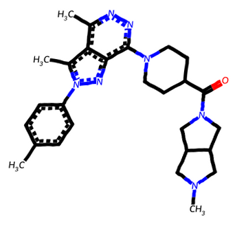 Cc1ccc(-n2nc3c(N4CCC(C(=O)N5CC6CN(C)CC6C5)CC4)nnc(C)c3c2C)cc1